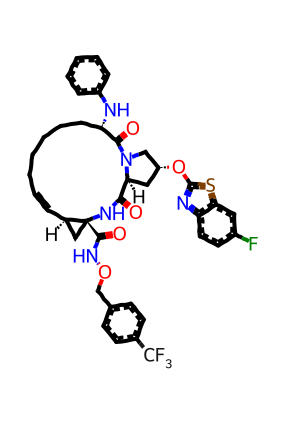 O=C1N[C@]2(C(=O)NOCc3ccc(C(F)(F)F)cc3)C[C@H]2/C=C\CCCCC[C@H](Nc2ccccc2)C(=O)N2C[C@H](Oc3nc4ccc(F)cc4s3)C[C@@H]12